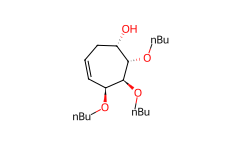 CCCCO[C@@H]1[C@@H](OCCCC)[C@@H](O)CC=C[C@@H]1OCCCC